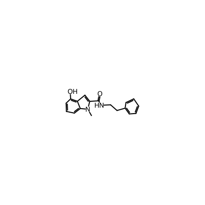 Cn1c(C(=O)NCCc2ccccc2)cc2c(O)cccc21